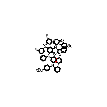 CC(C)(C)c1ccc(N(c2ccc3c(c2)N(c2ccccc2)c2cc(S(C)(c4cccc(F)c4)c4cccc(F)c4)cc4c2B3c2sc3ccc(C(C)(C)C)cc3c2N4c2cccc3oc4ccccc4c23)c2ccccc2-c2ccccc2)cc1